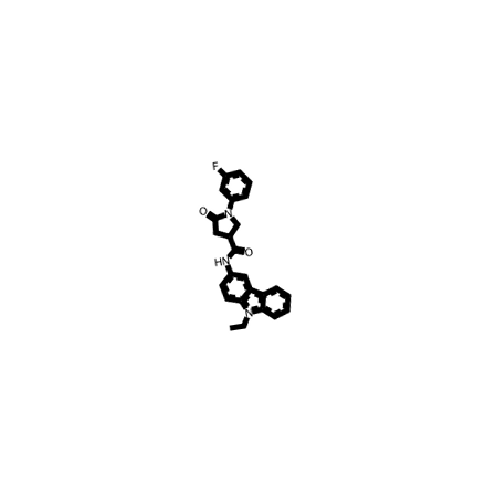 CCn1c2ccccc2c2cc(NC(=O)C3CC(=O)N(c4cccc(F)c4)C3)ccc21